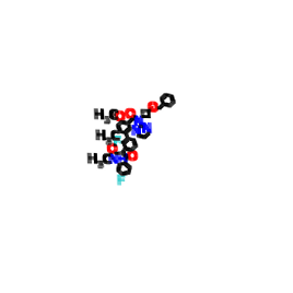 CNC(=O)c1c(-c2ccc(F)cc2)oc2ccc(-c3cc(C(=O)N(c4ncccn4)C4CC(OCc5ccccc5)C4)c(OC)cc3C)c(F)c12